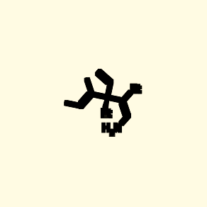 C=C[C@](CC)(/C(=C\N)CC)/C(C)=C/C